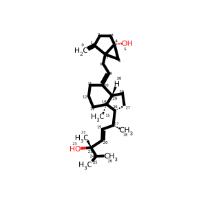 C=C1CC[C@@]2(O)CC12C/C=C1\CCC[C@]2(C)[C@@H]([C@H](C)/C=C/[C@@](C)(O)C(C)C)CC[C@@H]12